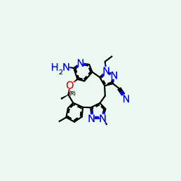 CCn1nc(C#N)c2c1-c1cnc(N)c(c1)O[C@H](C)c1cc(C)ccc1-c1nn(C)cc1C2